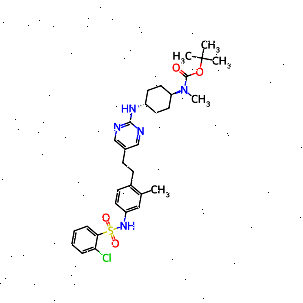 Cc1cc(NS(=O)(=O)c2ccccc2Cl)ccc1CCc1cnc(N[C@H]2CC[C@H](N(C)C(=O)OC(C)(C)C)CC2)nc1